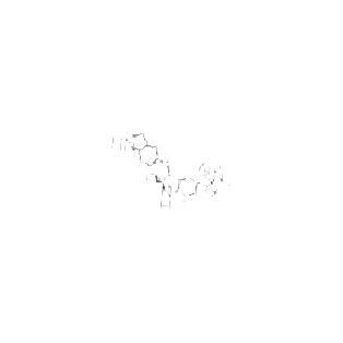 CN(C)S(=O)(=O)c1ccc2c(c1)C(=Cc1ccc3[nH]ccc3c1)C(=O)N2